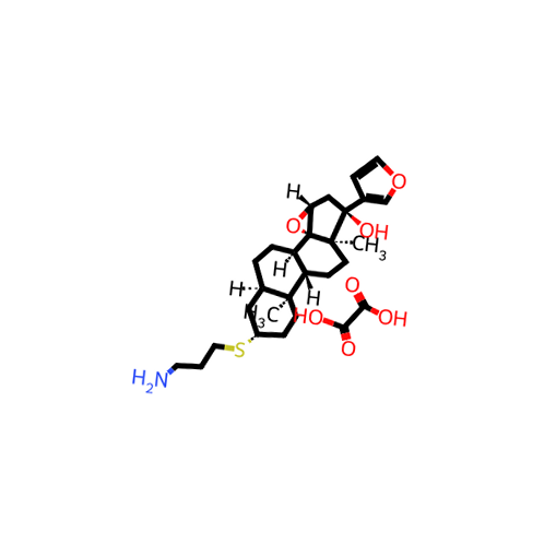 C[C@]12CC[C@H](SCCCN)C[C@H]1CC[C@@H]1[C@@H]2CC[C@@]2(C)[C@@]13O[C@@H]3C[C@]2(O)c1ccoc1.O=C(O)C(=O)O